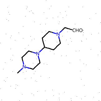 CN1CCN(C2CCN(C[C]=O)CC2)CC1